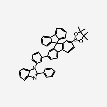 CC1(C)OB(c2ccc3c(c2)C2(c4ccccc4-c4ccccc42)c2cc(-c4cccc(-n5c(-c6ccccc6)nc6ccccc65)c4)ccc2-3)OC1(C)C